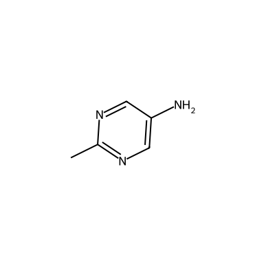 Cc1ncc(N)cn1